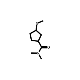 CSC1CCC(C(=O)N(C)C)C1